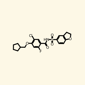 O=C(NS(=O)(=O)c1ccc2c(c1)CCO2)c1cc(Cl)c(OCC2CCCC2)cc1F